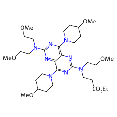 CCOC(=O)CCN(CCOC)c1nc(N2CCC(OC)CC2)c2nc(N(CCOC)CCOC)nc(N3CCC(OC)CC3)c2n1